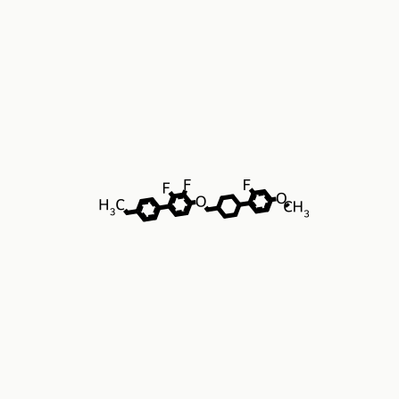 CCc1ccc(-c2ccc(OCC3CCC(c4ccc(OC)cc4F)CC3)c(F)c2F)cc1